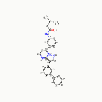 CC(C)CC(=O)Nc1cccc(-c2ccnc3c(-c4cccc(-c5ccccc5)c4)cnn23)c1